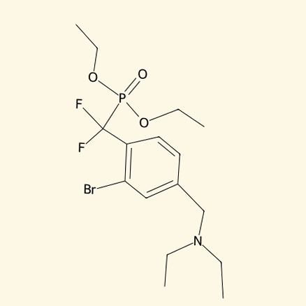 CCOP(=O)(OCC)C(F)(F)c1ccc(CN(CC)CC)cc1Br